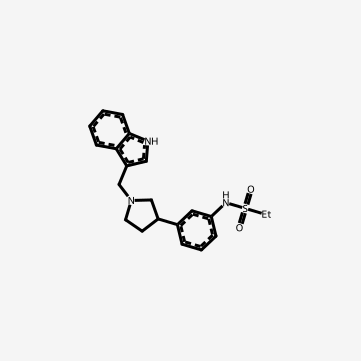 CCS(=O)(=O)Nc1cccc(C2CCN(Cc3c[nH]c4ccccc34)C2)c1